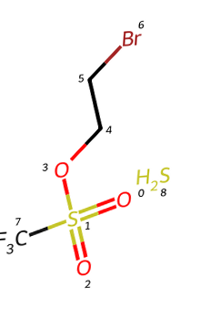 O=S(=O)(OCCBr)C(F)(F)F.S